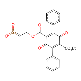 CCOC(=O)C1=C(c2ccccc2)C(=O)C(C(=O)OCC=S(=O)=O)=C(c2ccccc2)C1=O